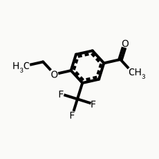 CCOc1ccc(C(C)=O)cc1C(F)(F)F